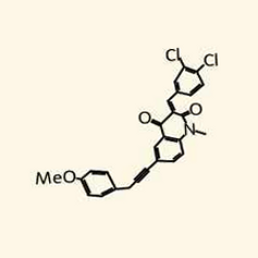 COc1ccc(CC#Cc2ccc3c(c2)C(=O)/C(=C/c2ccc(Cl)c(Cl)c2)C(=O)N3C)cc1